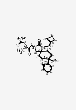 CNC(=O)CN(C)C(=O)CN1CC2(CCC(NC)(c3ccccc3)CC2)N(CC2CCC2)C1=O